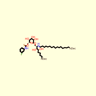 CCCCCCCCCCCCCCCCCCCCCCCCCCN[C@@H](CO[C@@H]1O[C@H](COC(=S)Nc2cccc(F)c2)[C@H](O)[C@H](O)[C@H]1O)[C@H](O)[C@H](O)CCCCCCCCCCCCCC